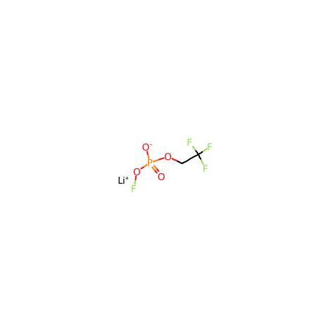 O=P([O-])(OF)OCC(F)(F)F.[Li+]